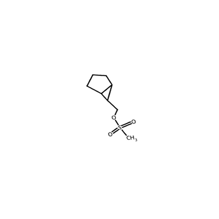 CS(=O)(=O)OCC1C2CCCC21